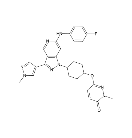 Cn1cc(-c2nn(C3CCC(Oc4ccc(=O)n(C)n4)CC3)c3cc(Nc4ccc(F)cc4)ncc23)cn1